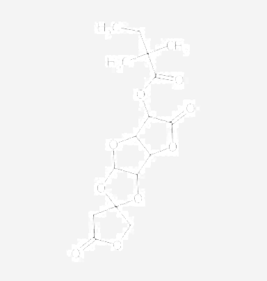 CCC(C)(C)C(=O)OC1C(=O)OC2C3OC4(COC(=O)C4)OC3OC12